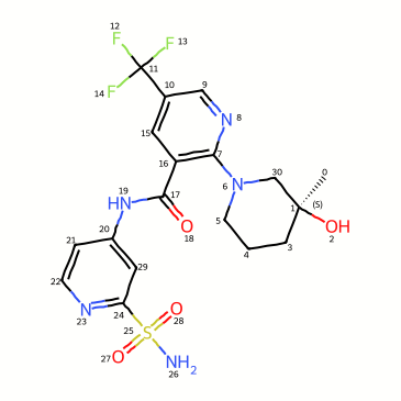 C[C@]1(O)CCCN(c2ncc(C(F)(F)F)cc2C(=O)Nc2ccnc(S(N)(=O)=O)c2)C1